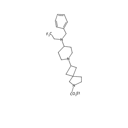 CCOC(=O)N1CCC2(CC(N3CCC(N(Cc4ccccc4)CC(F)(F)F)CC3)C2)C1